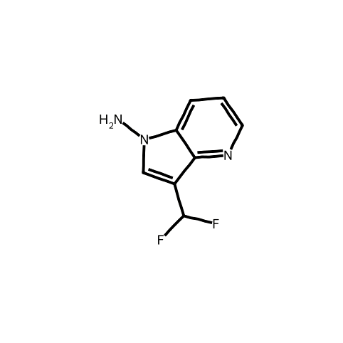 Nn1cc(C(F)F)c2ncccc21